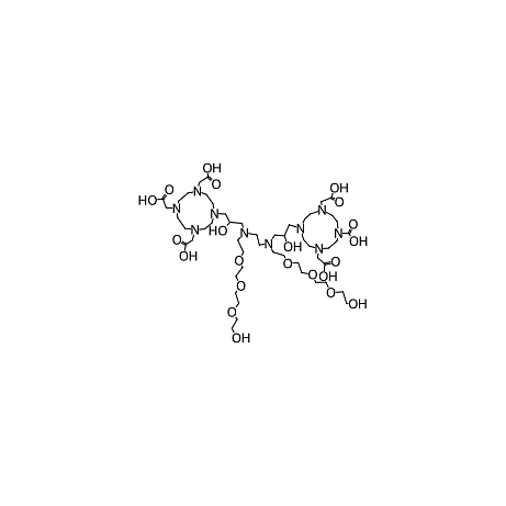 O=C(O)CN1CCN(CC(=O)O)CCN(CC(O)CN(CCOCCOCCOCCO)CCN(CCOCCOCCOCCO)CC(O)CN2CCN(CC(=O)O)CCN(C(=O)O)CCN(CC(=O)O)CC2)CCN(CC(=O)O)CC1